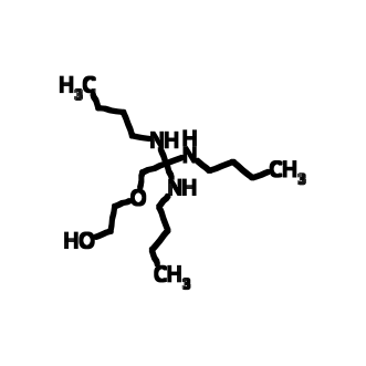 CCCCNC(COCCO)(NCCCC)NCCCC